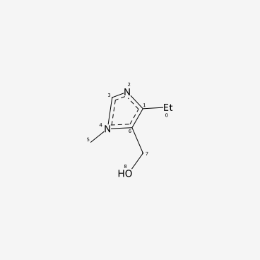 CCc1ncn(C)c1CO